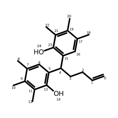 C=CCCC(c1cc(C)c(C)c(C)c1O)c1cc(C)c(C)c(C)c1O